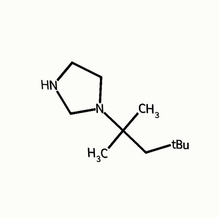 CC(C)(C)CC(C)(C)N1CCNC1